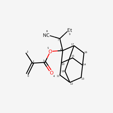 C=C(C)C(=O)OC1(C(C#N)CC)C2CC3CC(C2)CC1C3